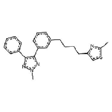 Cc1nc(CCCCc2cccc(-c3nn(C)nc3-c3ccccc3)c2)cs1